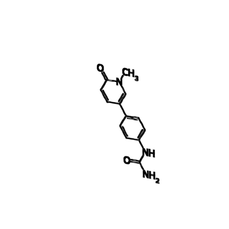 Cn1cc(-c2ccc(NC(N)=O)cc2)ccc1=O